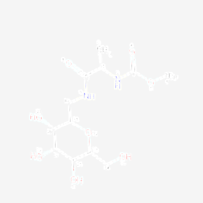 C[C@H](NC(=O)OC(C)(C)C)C(=O)NCC1OC(CO)C(O)[C@H](O)[C@@H]1O